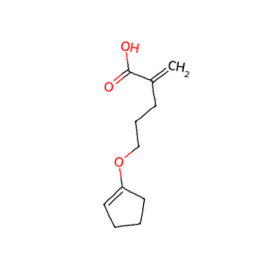 C=C(CCCOC1=CCCC1)C(=O)O